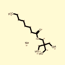 CCCCCCCC(=O)OCC(CO)(CO)CO.[Na]